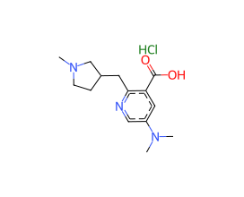 CN1CCC(Cc2ncc(N(C)C)cc2C(=O)O)C1.Cl